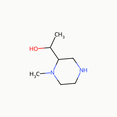 CC(O)C1CNCCN1C